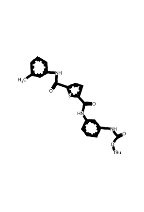 Cc1cccc(NC(=O)c2ccc(C(=O)Nc3cccc(NC(=O)OC(C)(C)C)c3)s2)c1